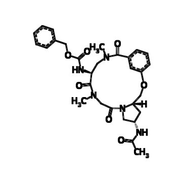 CC(=O)N[C@H]1C[C@H]2COc3cccc(c3)C(=O)N(C)C[C@H](NC(=O)OCc3ccccc3)C(=O)N(C)CC(=O)N2C1